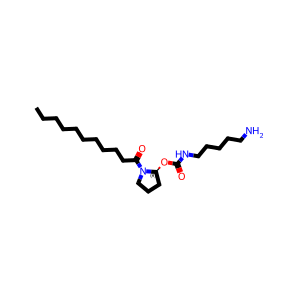 CCCCCCCCCCC(=O)N1CCC[C@H]1OC(=O)NCCCCCN